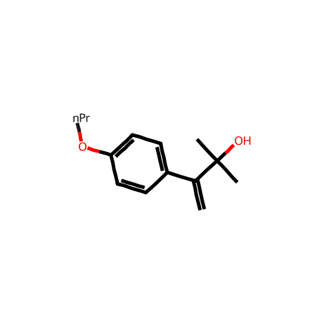 C=C(c1ccc(OCCC)cc1)C(C)(C)O